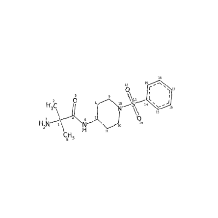 CC(C)(N)C(=O)NC1CCN(S(=O)(=O)c2ccccc2)CC1